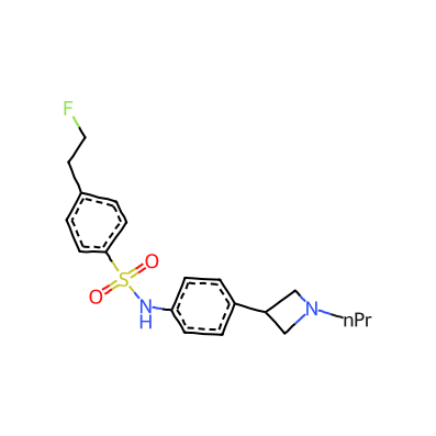 CCCN1CC(c2ccc(NS(=O)(=O)c3ccc(CCF)cc3)cc2)C1